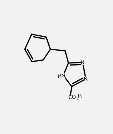 O=C(O)c1nnc(CC2C=CC=CC2)[nH]1